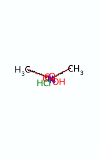 CCCCCCCCC=CCCCCCCCC(=O)OCCN1CCN(CCO)C1C(=O)CCCCCCCC=CCCCCCCCC.Cl